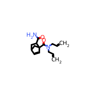 C=CCN(CC=C)C(=O)C12C=CC(CC1C(N)=O)C2